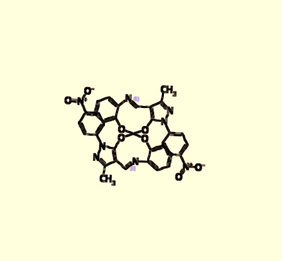 Cc1nn(-c2ccc([N+](=O)[O-])cc2)c2c1/C=N/c1ccccc1OC1(Oc3ccccc3/N=C/c3c(C)nn(-c4ccc([N+](=O)[O-])cc4)c3O1)O2